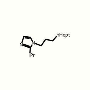 CCCCCCCCCCn1ccnc1C(C)C